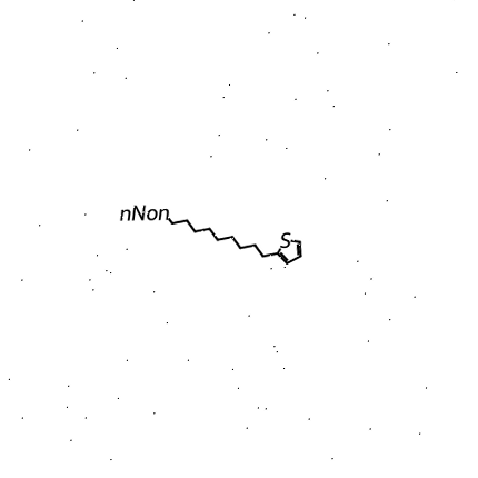 [CH2]CCCCCCCCCCCCCCCCCc1cccs1